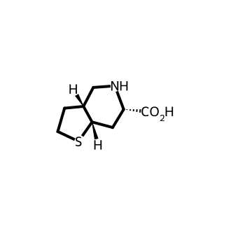 O=C(O)[C@@H]1C[C@@H]2SCC[C@@H]2CN1